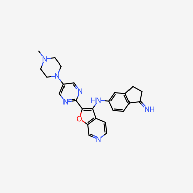 CN1CCN(c2cnc(-c3oc4cnccc4c3Nc3ccc4c(c3)CCC4=N)nc2)CC1